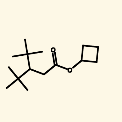 CC(C)(C)C(CC(=O)OC1CCC1)C(C)(C)C